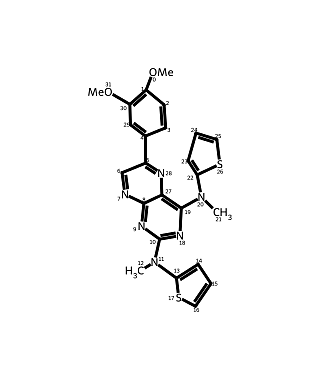 COc1ccc(-c2cnc3nc(N(C)c4cccs4)nc(N(C)c4cccs4)c3n2)cc1OC